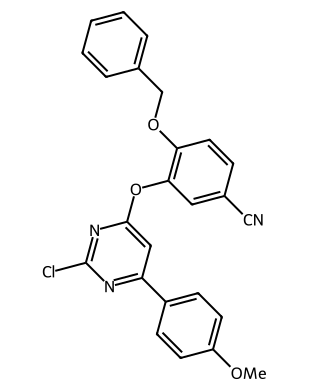 COc1ccc(-c2cc(Oc3cc(C#N)ccc3OCc3ccccc3)nc(Cl)n2)cc1